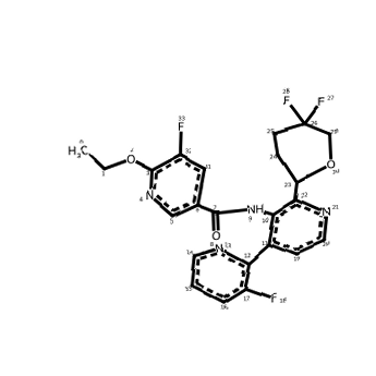 CCOc1ncc(C(=O)Nc2c(-c3ncccc3F)ccnc2C2CCC(F)(F)CO2)cc1F